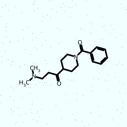 CN(C)CCC(=O)C1CCN(C(=O)c2ccccc2)CC1